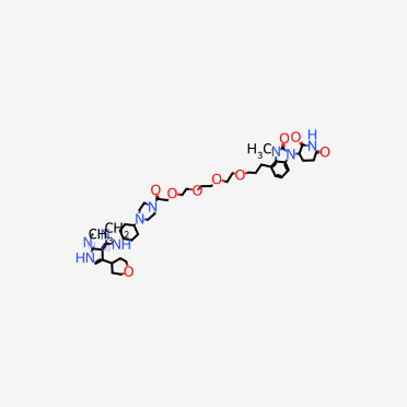 C=N/C(N[C@H]1CC[C@H](N2CCN(C(=O)COCCOCCOCCOCCCc3cccc4c3n(C)c(=O)n4C3CCC(=O)NC3=O)CC2)CC1)=C1/C(C2CCOCC2)=CN/C1=N/C